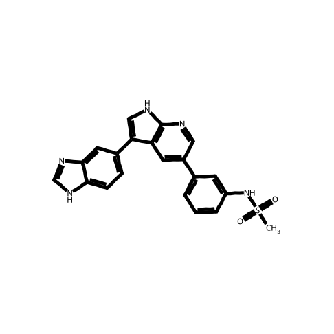 CS(=O)(=O)Nc1cccc(-c2cnc3[nH]cc(-c4ccc5[nH]cnc5c4)c3c2)c1